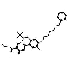 CCOC(=O)c1cn2c(cc1=O)-c1cc(C)c(OCCCCOCc3ccccc3)cc1CC2C(C)(C)C